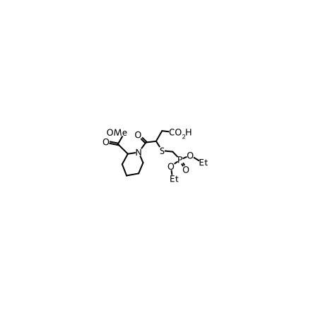 CCOP(=O)(CSC(CC(=O)O)C(=O)N1CCCCC1C(=O)OC)OCC